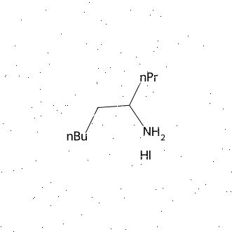 CCCCCC(N)CCC.I